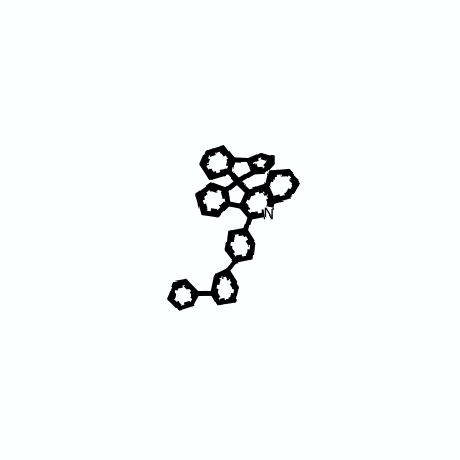 c1ccc(-c2cccc(-c3ccc(-c4nc5ccccc5c5c4-c4ccccc4C54c5ccccc5-c5ccccc54)cc3)c2)cc1